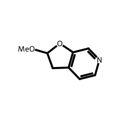 COC1Cc2ccncc2O1